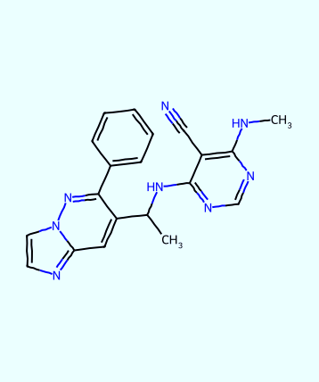 CNc1ncnc(NC(C)c2cc3nccn3nc2-c2ccccc2)c1C#N